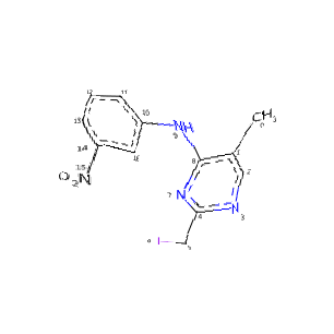 Cc1cnc(CI)nc1Nc1cccc([N+](=O)[O-])c1